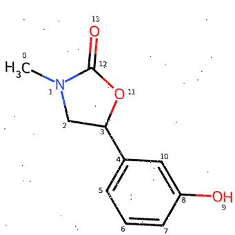 CN1CC(c2cccc(O)c2)OC1=O